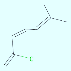 C=C(Cl)/C=C\C=C(C)C